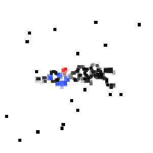 CC(C)CCC[C@@H](C)[C@H]1CCC2C3CC=C4C[C@@H](N(N)C(=O)N5CCN(C)CC5)CC[C@]4(C)C3CC[C@@]21C